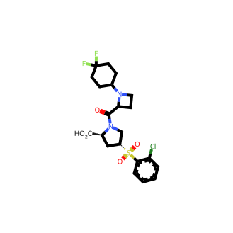 O=C(O)[C@@H]1C[C@@H](S(=O)(=O)c2ccccc2Cl)CN1C(=O)C1CCN1C1CCC(F)(F)CC1